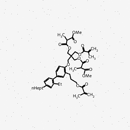 C=C(C)C(=O)OCCCc1cc(-c2ccc(CCCCCCC)cc2CC)ccc1OCC(COC(=O)C(=C)C)(COC(=O)C(C)C(=O)OC)COC(=O)C(C)C(=O)OC